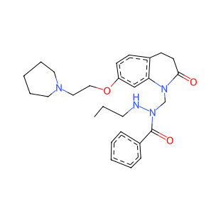 CCCNN(CN1C(=O)CCc2ccc(OCCN3CCCCC3)cc21)C(=O)c1ccccc1